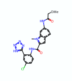 COCC(=O)Nc1ccc2cc(C(=O)Nc3ccc(Cl)cc3-c3nnn[nH]3)n(C)c2c1